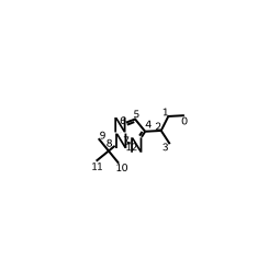 CCC(C)c1cnn(C(C)(C)C)n1